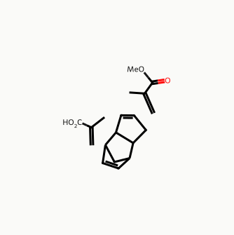 C1=CC2C3C=CC(C3)C2C1.C=C(C)C(=O)O.C=C(C)C(=O)OC